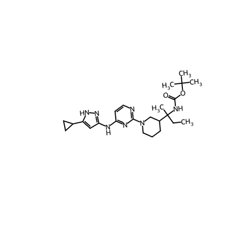 CCC(C)(NC(=O)OC(C)(C)C)C1CCCN(c2nccc(Nc3cc(C4CC4)[nH]n3)n2)C1